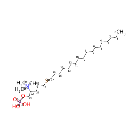 CCCCCCCCCCCCCCCCCCSCCCC(COP(=O)(O)O)[N+](C)(C)C